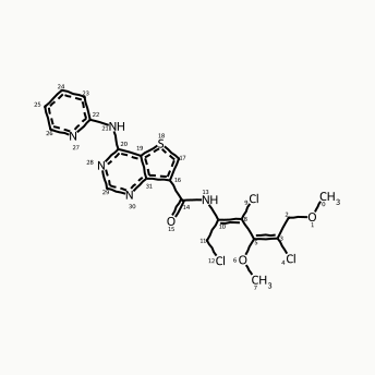 COC/C(Cl)=C(OC)\C(Cl)=C(/CCl)NC(=O)c1csc2c(Nc3ccccn3)ncnc12